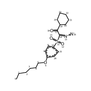 CCCCCCOc1ccc(S(=O)(=O)C(=[N+]=[N-])C(=O)C2CCCCC2)cc1